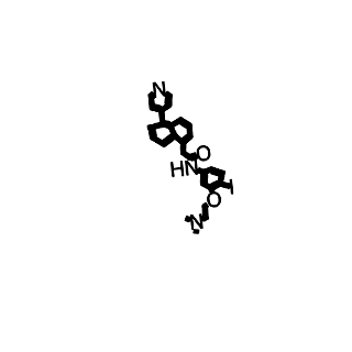 CN(C)CCOc1cc(NC(=O)Cc2cccc3c(-c4ccncc4)cccc23)ccc1I